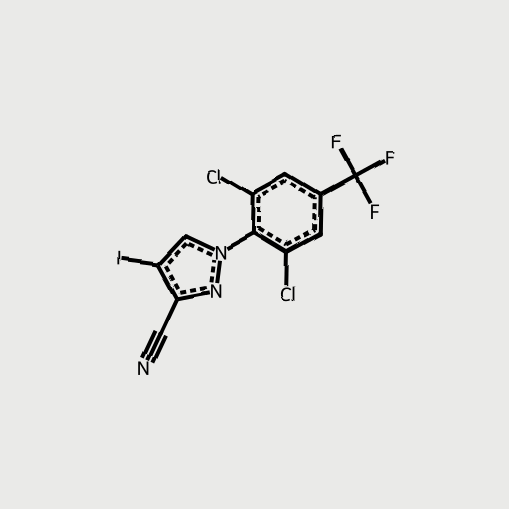 N#Cc1nn(-c2c(Cl)cc(C(F)(F)F)cc2Cl)cc1I